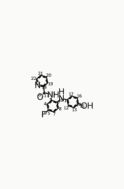 O=C(Nc1cc(F)ccc1Nc1ccc(O)cc1)c1ccccn1